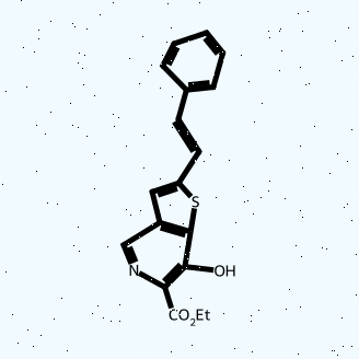 CCOC(=O)c1ncc2cc(/C=C/c3ccccc3)sc2c1O